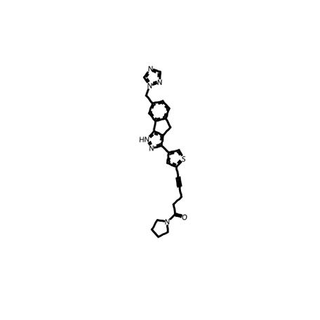 O=C(CCC#Cc1cc(-c2n[nH]c3c2Cc2ccc(Cn4cncn4)cc2-3)cs1)N1CCCC1